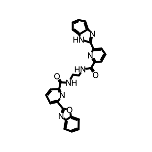 O=C(NCCNC(=O)c1cccc(-c2nc3ccccc3o2)n1)c1cccc(-c2nc3ccccc3[nH]2)n1